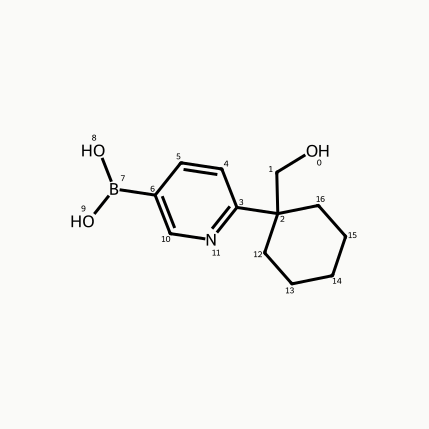 OCC1(c2ccc(B(O)O)cn2)CCCCC1